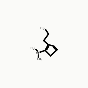 CCCC1=[C]([Hf]([CH3])[CH3])CC=C1